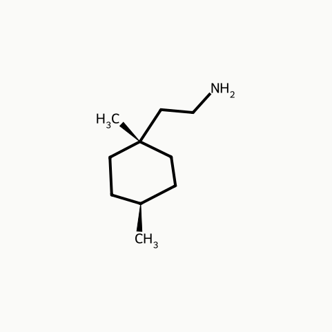 C[C@H]1CC[C@](C)(CCN)CC1